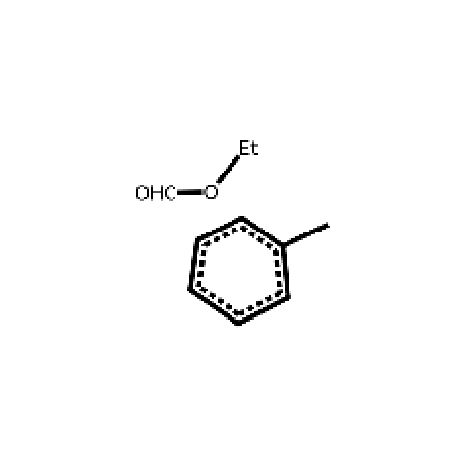 CCOC=O.Cc1ccccc1